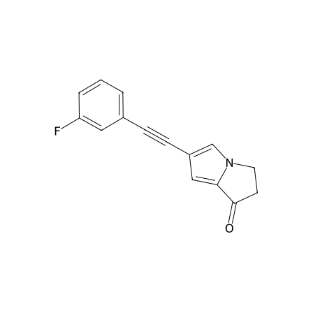 O=C1CCn2cc(C#Cc3cccc(F)c3)cc21